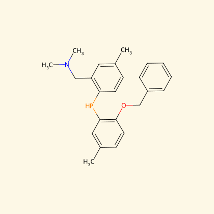 Cc1ccc(Pc2cc(C)ccc2OCc2ccccc2)c(CN(C)C)c1